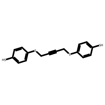 Sc1ccc(SCC#CCSc2ccc(S)cc2)cc1